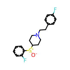 [O-][S+](c1ccccc1F)C1CCN(CCc2ccc(F)cc2)CC1